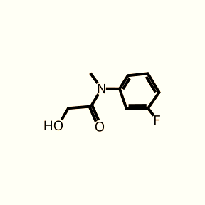 CN(C(=O)CO)c1cccc(F)c1